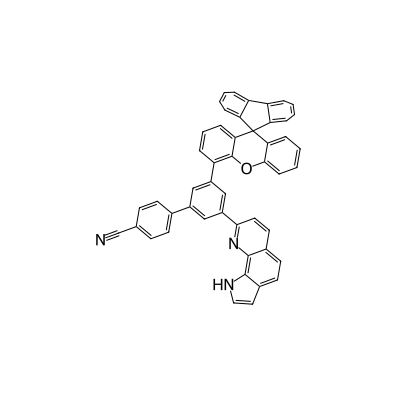 N#Cc1ccc(-c2cc(-c3ccc4ccc5cc[nH]c5c4n3)cc(-c3cccc4c3Oc3ccccc3C43c4ccccc4-c4ccccc43)c2)cc1